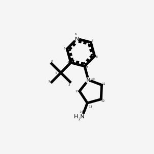 CC(C)(C)c1cnccc1N1CCC(N)C1